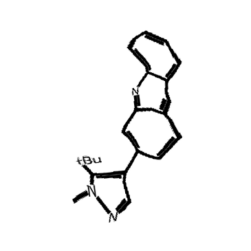 Cn1ncc(-c2ccc3cc4ccccc4nc3c2)c1C(C)(C)C